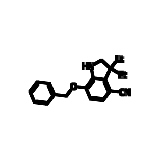 CCC1(CC)CNc2c(OCc3ccccc3)ccc(C#N)c21